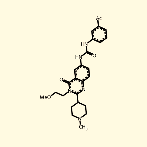 COCCn1c(C2CCN(C)CC2)nc2ccc(NC(=O)Nc3cccc(C(C)=O)c3)cc2c1=O